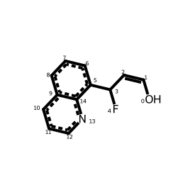 O/C=C\C(F)c1cccc2cccnc12